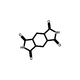 O=C1NC(=O)C2CC3C(=O)NC(=O)C3CC12